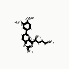 COc1ccc(-c2ccc3nc(N)nc(C(N)CCCN)c3n2)cc1OC